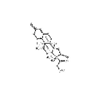 CC(=O)OCC(=O)[C@@]1(O)C(O)C[C@H]2[C@@H]3CCC4=CC(=O)CC[C@]4(C)[C@@]3(F)C(O)C[C@@]21C